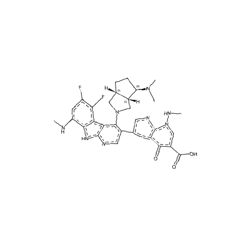 CNc1cc(F)c(F)c2c1[nH]c1ncc(-c3cnc4c(c3)c(=O)c(C(=O)O)cn4NC)c(N3C[C@@H]4CC[C@@H](N(C)C)[C@@H]4C3)c12